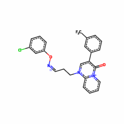 O=c1c(-c2cccc(C(F)(F)F)c2)cn(CC/C=N\Oc2cccc(Cl)c2)c2cccc[n+]12